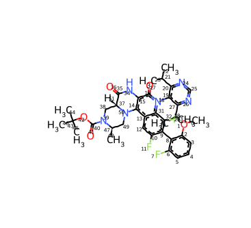 COc1cccc(F)c1-c1c(F)cc2c3c(c(=O)n(-c4c(C(C)C)ncnc4C(C)C)c2c1F)NC(=O)[C@H]1CN(C(=O)OC(C)(C)C)[C@H](C)CN31